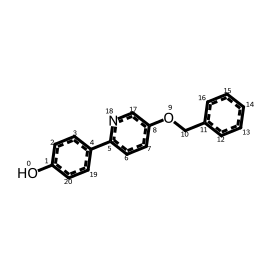 Oc1ccc(-c2ccc(OCc3ccccc3)cn2)cc1